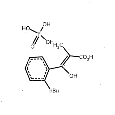 CCCCc1ccccc1C(O)=C(C)C(=O)O.O=P(O)(O)O